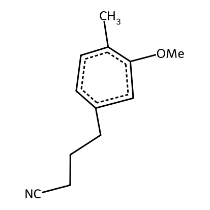 COc1cc(CCCC#N)ccc1C